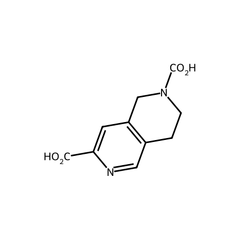 O=C(O)c1cc2c(cn1)CCN(C(=O)O)C2